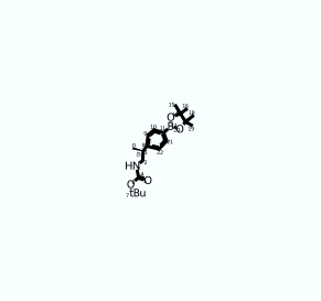 C[C@H](CNC(=O)OC(C)(C)C)c1ccc(B2OC(C)(C)C(C)(C)O2)cc1